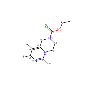 CCOC(=O)N1CCN2C(C)=NC(C)C(C)=C2C1